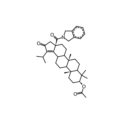 CC(=O)O[C@H]1CC[C@@]2(C)C(CC[C@@]3(C)C4CC[C@@]5(C(=O)N6Cc7ccccc7C6)CC(=O)C(C(C)C)=C5C4CCC32)C1(C)C